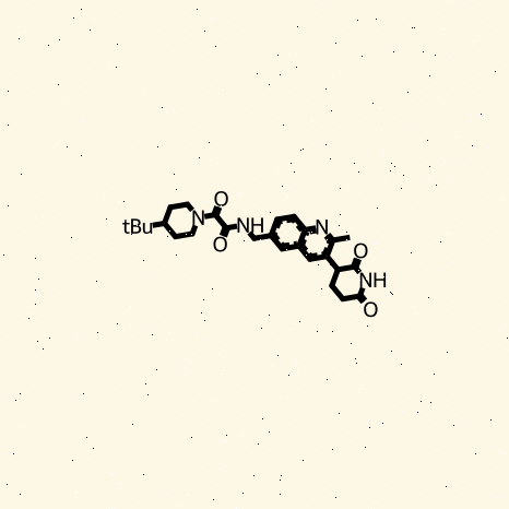 Cc1nc2ccc(CNC(=O)C(=O)N3CCC(C(C)(C)C)CC3)cc2cc1C1CCC(=O)NC1=O